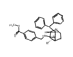 COC(=O)c1ccc(CN[C@@H]2C3CCN(CC3)[C@H]2C(c2ccccc2)c2ccccc2)cc1